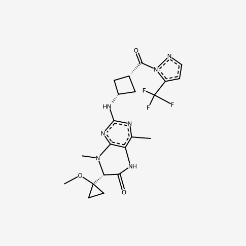 COC1([C@H]2C(=O)Nc3c(C)nc(N[C@H]4C[C@@H](C(=O)n5nccc5C(F)(F)F)C4)nc3N2C)CC1